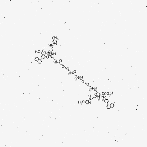 Cc1ccnc(NCCCC(=O)N[C@@H](CCCCNC(=O)CCOCCOCCNC(=O)CCC(=O)NCCOCCOCCC(=O)NCCCC[C@H](NC(=O)CCCNc2cc(C)ccn2)C(=O)NC(CC(=O)O)c2ccc(-c3cccc4ccccc34)cc2)C(=O)NC(CC(=O)O)c2ccc(-c3cccc4ccccc34)cc2)c1